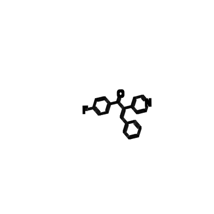 O=C(/C(=C/c1ccccc1)c1ccncc1)c1ccc(F)cc1